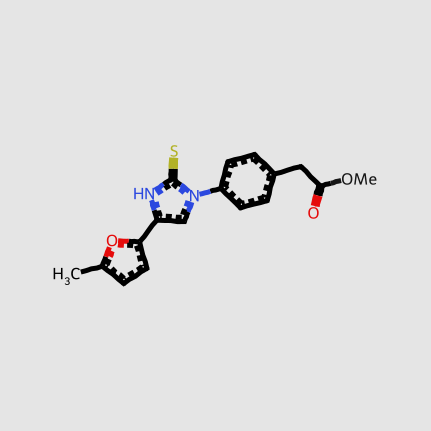 COC(=O)Cc1ccc(-n2cc(-c3ccc(C)o3)[nH]c2=S)cc1